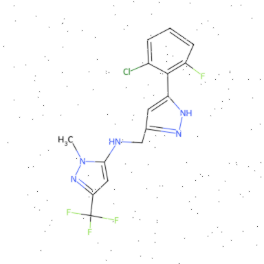 Cn1nc(C(F)(F)F)cc1NCc1cc(-c2c(F)cccc2Cl)[nH]n1